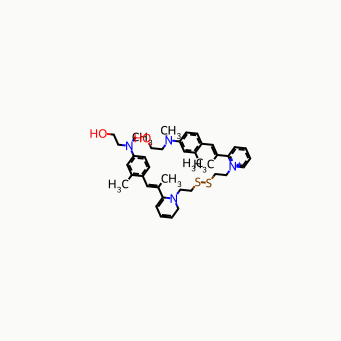 C/C(=C\c1ccc(N(C)CCO)cc1C)C1=CC=CCN1CCSSCC[n+]1ccccc1/C(C)=C/c1ccc(N(C)CCO)cc1C